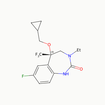 CCN1C[C@](OCC2CC2)(C(F)(F)F)c2cc(F)ccc2NC1=O